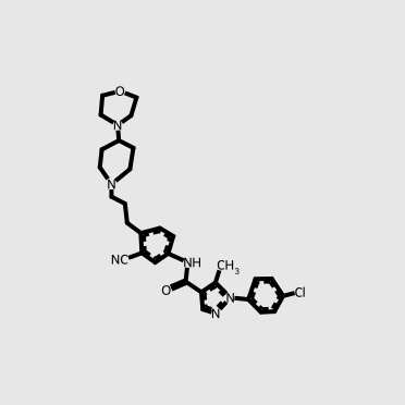 Cc1c(C(=O)Nc2ccc(CCCN3CCC(N4CCOCC4)CC3)c(C#N)c2)cnn1-c1ccc(Cl)cc1